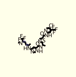 C=N/C(=C\C=C(/C)Nc1cc(C(=O)NC(C)c2ncc(C(=O)Nc3cc(C(F)(F)F)c(Cl)cn3)s2)ncn1)C(F)(F)F